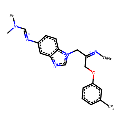 CCN(C)/C=N/c1ccc2c(c1)ncn2C/C(COc1cccc(C(F)(F)F)c1)=N/OC